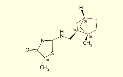 C[C@H]1SC(NC[C@H]2C[C@@H]3CC[C@@]2(C)C3)=NC1=O